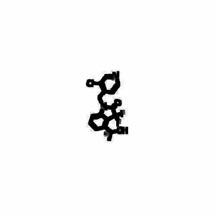 C[C@H](O)c1cccc2c1C(F)(F)C(=O)N2Cc1ccncc1Cl